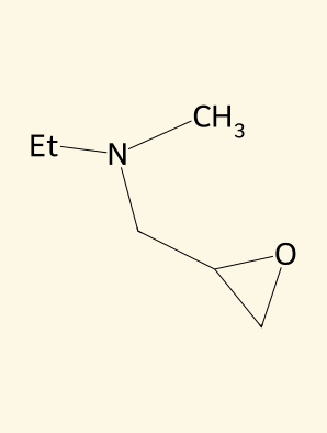 CCN(C)CC1CO1